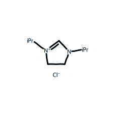 CC(C)N1C=[N+](C(C)C)CC1.[Cl-]